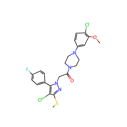 COc1cc(N2CCN(C(=O)Cn3nc(SC)c(Cl)c3-c3ccc(F)cc3)CC2)ccc1Cl